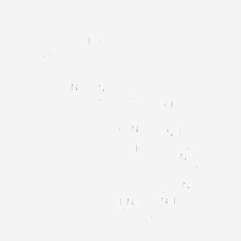 CC(NC(O)c1cc(NS(N)(=O)=O)ncn1)c1ncc(C(=O)Nc2cc(C(F)(F)F)c(Cl)cn2)s1